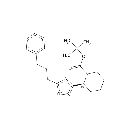 CC(C)(C)OC(=O)N1CCCC[C@H]1c1noc(CCCc2ccccc2)n1